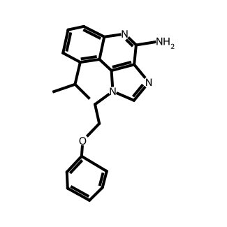 CC(C)c1cccc2nc(N)c3ncn(CCOc4ccccc4)c3c12